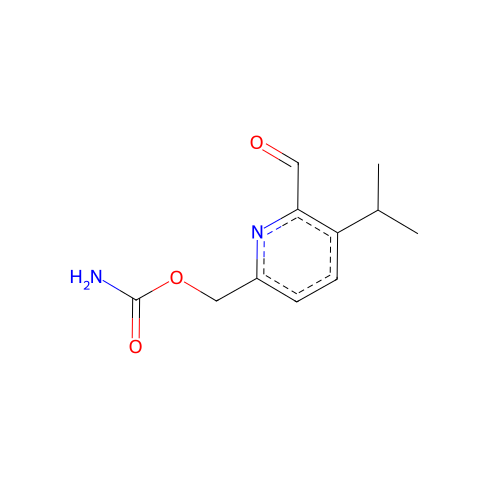 CC(C)c1ccc(COC(N)=O)nc1C=O